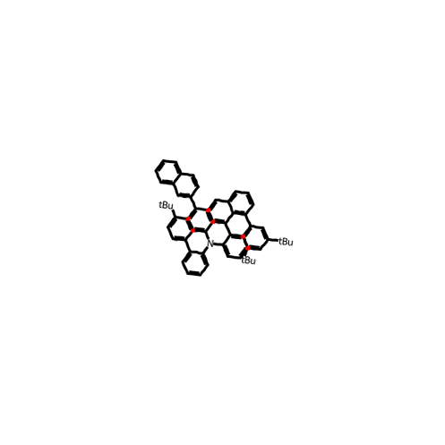 CC(C)(C)c1ccc(-c2ccccc2N(c2ccc(-c3ccc4ccccc4c3)cc2)c2ccccc2-c2cccc3cccc(-c4cc(C(C)(C)C)cc(C(C)(C)C)c4)c23)cc1